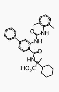 Cc1cccc(C)c1NC(=O)Nc1cc(-c2ccccc2)ccc1C(=O)N[C@](C)(C(=O)O)C1CCCCC1